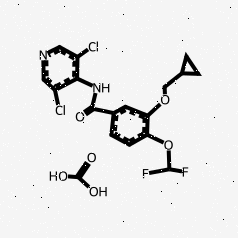 O=C(Nc1c(Cl)cncc1Cl)c1ccc(OC(F)F)c(OCC2CC2)c1.O=C(O)O